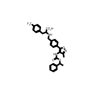 Cc1noc(-c2ccc(CNC(Cc3ccc(C(F)(F)F)cc3)C(=O)O)cc2)c1NC(=O)OC(C)c1ccccc1